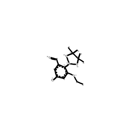 CCOc1cc(Cl)cc(C=O)c1B1OC(C)(C)C(C)(C)O1